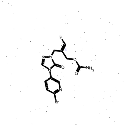 NC(=O)OC/C(=C/F)Cn1ncn(-c2ccc(Br)nc2)c1=O